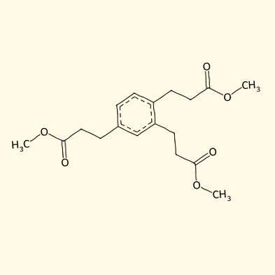 COC(=O)CCc1ccc(CCC(=O)OC)c(CCC(=O)OC)c1